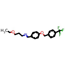 CCOCCC/N=C/c1ccc(OCc2ccc(C(F)(F)F)cc2)cc1